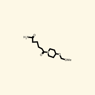 COCOC1CCN(C(=O)CCCCC(N)=O)CC1